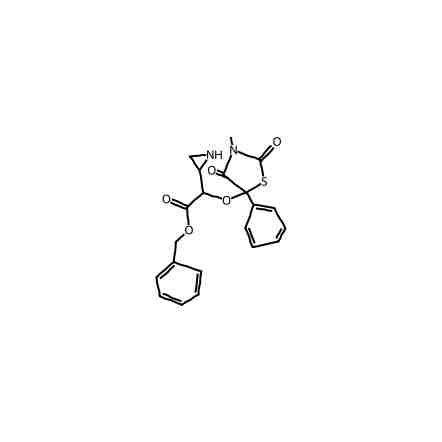 CN1C(=O)SC(OC(C(=O)OCc2ccccc2)C2CN2)(c2ccccc2)C1=O